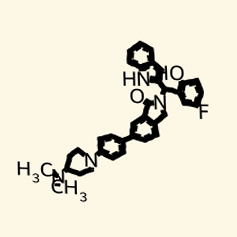 CN(C)C1CCN(c2ccc(-c3ccc4c(c3)C(=O)N(C(c3cc5ccccc5[nH]3)c3cc(F)ccc3O)C4)cc2)CC1